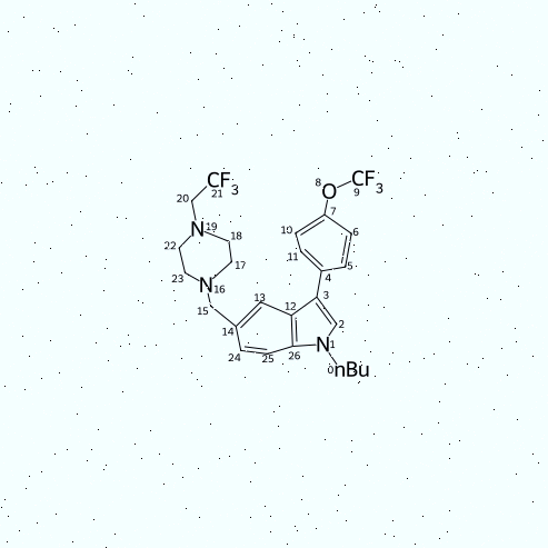 CCCCn1cc(-c2ccc(OC(F)(F)F)cc2)c2cc(CN3CCN(CC(F)(F)F)CC3)ccc21